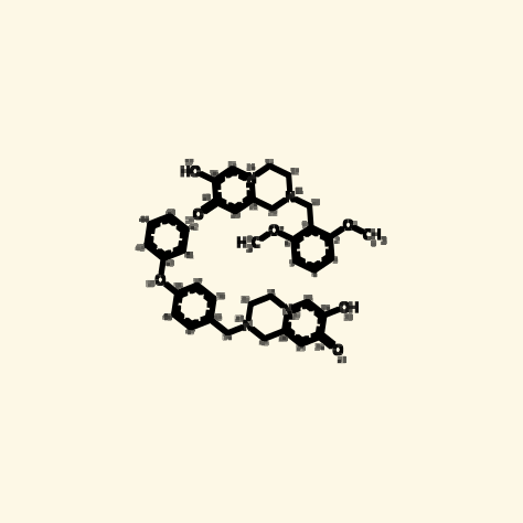 COc1cccc(OC)c1CN1CCn2cc(O)c(=O)cc2C1.O=c1cc2n(cc1O)CCN(Cc1ccc(Oc3ccccc3)cc1)C2